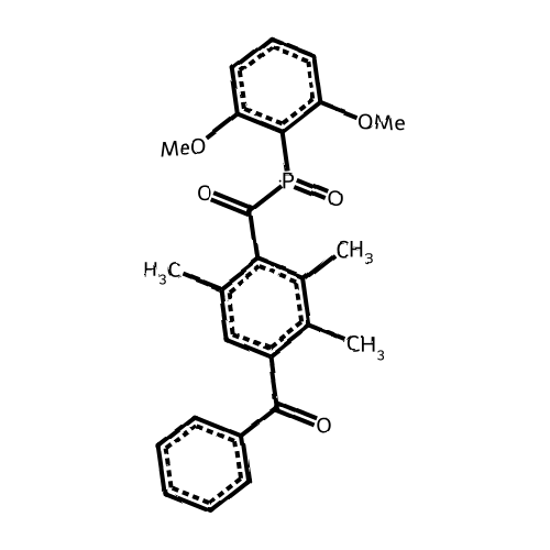 COc1cccc(OC)c1[P](=O)C(=O)c1c(C)cc(C(=O)c2ccccc2)c(C)c1C